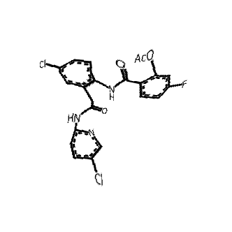 CC(=O)Oc1cc(F)ccc1C(=O)Nc1ccc(Cl)cc1C(=O)Nc1ccc(Cl)cn1